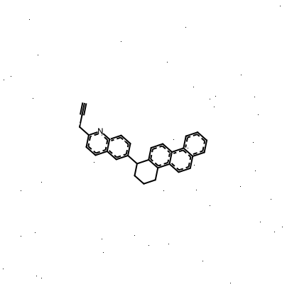 C#CCc1ccc2cc(C3CCCc4c3ccc3c4ccc4ccccc43)ccc2n1